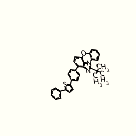 CC(C)(C)c1nc2c(-c3ccc(-c4ccc(-c5ccccc5)s4)cc3)ccc3c2n1-c1ccccc1O3